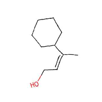 C/C(=C/CO)C1CCCCC1